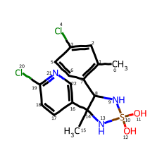 Cc1cc(Cl)ccc1C1NS(O)(O)NC1(C)c1ccc(Cl)nc1